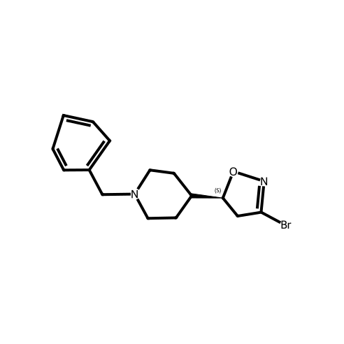 BrC1=NO[C@H](C2CCN(Cc3ccccc3)CC2)C1